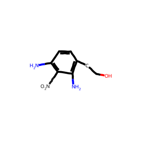 Nc1ccc(CCO)c(N)c1[N+](=O)[O-]